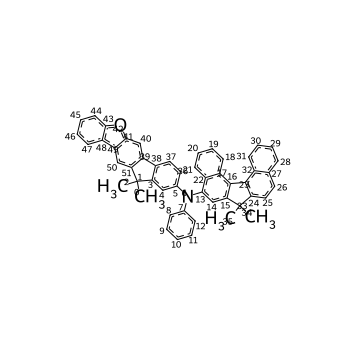 CC1(C)c2cc(N(c3ccccc3)c3cc4c(c5ccccc35)-c3c(ccc5ccccc35)C4(C)C)ccc2-c2cc3oc4ccccc4c3cc21